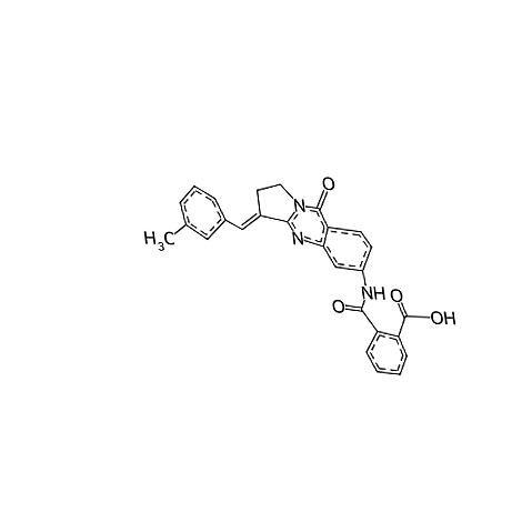 Cc1cccc(C=C2CCn3c2nc2cc(NC(=O)c4ccccc4C(=O)O)ccc2c3=O)c1